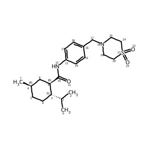 CC(C)[C@@H]1CC[C@@H](C)C[C@H]1C(=O)Nc1ccc(CN2CCS(=O)(=O)CC2)cc1